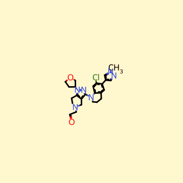 Cn1cc(-c2cc3c(cc2Cl)N(c2nn([C@H]4CCOC4)c4c2CN(CC=O)CC4)CCC3)cn1